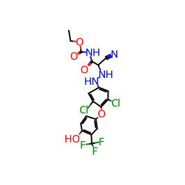 CCOC(=O)NC(=O)C(C#N)NNc1cc(Cl)c(Oc2ccc(O)c(C(F)(F)F)c2)c(Cl)c1